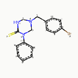 S=C1NCN(Cc2ccc(Br)cc2)CN1c1ccccc1